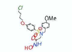 COc1ccc(CN(CC(=O)NO)S(=O)(=O)c2ccc(OCCCCCl)cc2)cc1